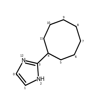 [c]1c[nH]c(C2CCCCCCC2)n1